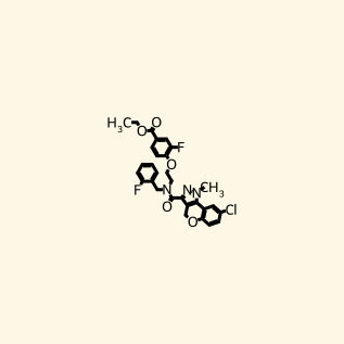 CCOC(=O)c1ccc(OCCN(Cc2ccccc2F)C(=O)c2nn(C)c3c2COc2ccc(Cl)cc2-3)c(F)c1